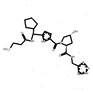 O=C(O)CCC(=O)NC(c1ccc(C(=O)N2C[C@H](O)C[C@H]2C(=O)NCc2nn[nH]n2)[nH]1)C1CCCC1